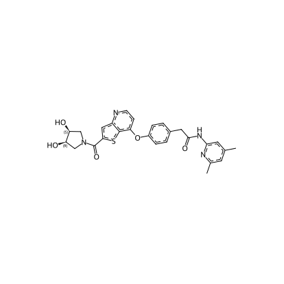 Cc1cc(C)nc(NC(=O)Cc2ccc(Oc3ccnc4cc(C(=O)N5C[C@@H](O)[C@@H](O)C5)sc34)cc2)c1